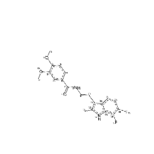 COc1ccc(C(=O)NCCc2c(C)[nH]c3c(F)c(F)ccc23)cc1OC